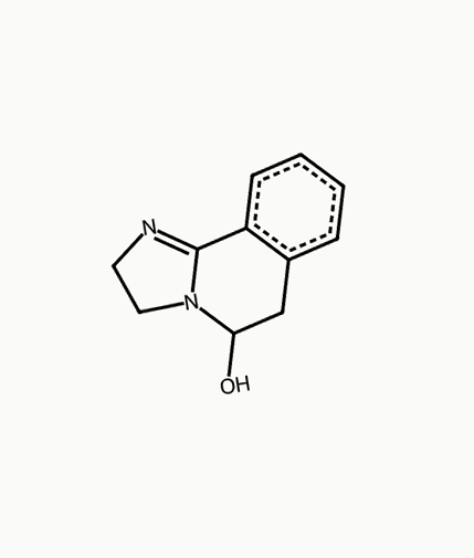 OC1Cc2ccccc2C2=NCCN21